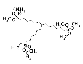 CO[Si](CCCCCCC(CCCCCC[Si](OC)(OC)OC)CCCCCC[Si](OC)(OC)OC)(OC)OC